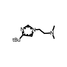 CN(C)CCn1cnc(C(C)(C)C)c1